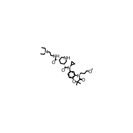 CCN(CC)CCNC(=O)[C@@H]1CNC[C@H](C(=O)N(c2ccc3c(c2)N(CCCOC)C(=O)C(C)(C)O3)C2CC2)C1